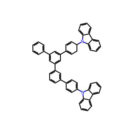 C1=CC(n2c3ccccc3c3ccccc32)CC=C1c1cc(-c2ccccc2)cc(-c2cccc(-c3ccc(-n4c5ccccc5c5ccccc54)cc3)c2)c1